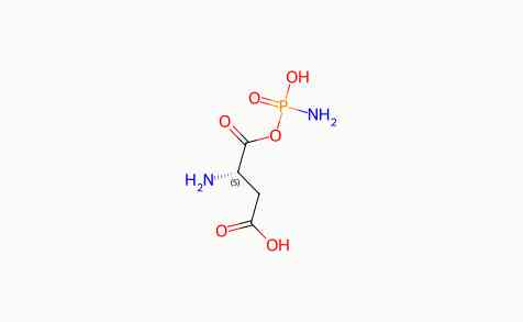 N[C@@H](CC(=O)O)C(=O)OP(N)(=O)O